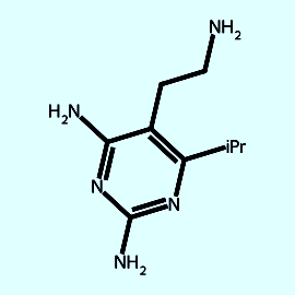 CC(C)c1nc(N)nc(N)c1CCN